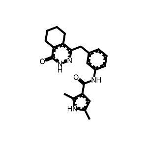 Cc1cc(C(=O)Nc2cccc(Cc3n[nH]c(=O)c4c3CCCC4)c2)c(C)[nH]1